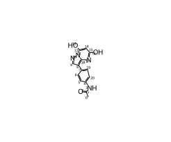 CC(=O)Nc1ccc(-c2cnn3c(O)cc(O)nc23)cc1